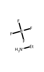 CC[NH3+].F[B-](F)(F)F